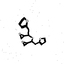 c1coc(CC(SC(Cc2ccco2)C2CO2)C2CO2)c1